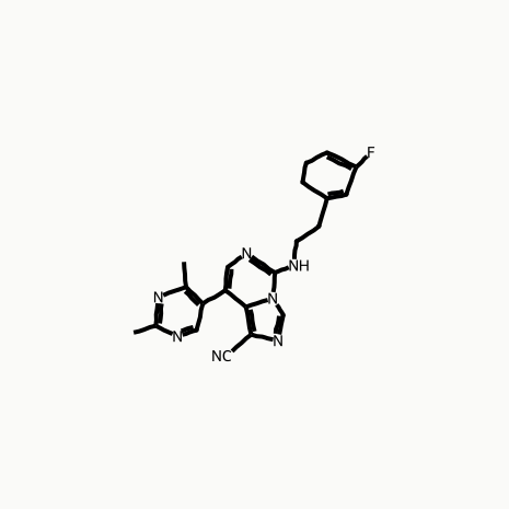 Cc1ncc(-c2cnc(NCCC3=CC(F)=CCC3)n3cnc(C#N)c23)c(C)n1